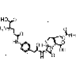 NC(=O)OCC1=C(C(=O)O)N2C(=O)[C@@H](NC(=O)Cc3ccc(NC(=O)CC[C@@H](N)C(=O)O)cc3)[C@H]2SC1